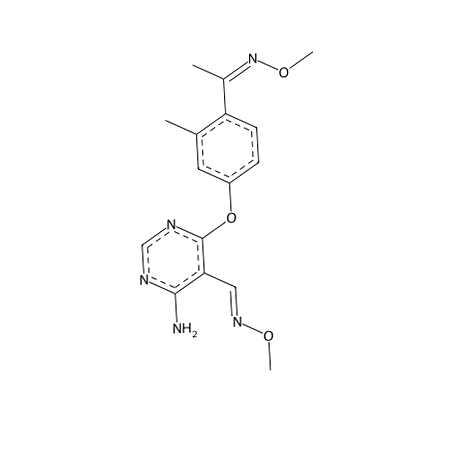 CO/N=C(/C)c1ccc(Oc2ncnc(N)c2/C=N/OC)cc1C